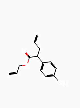 C=CCOC(=O)C(CC=C)c1ccc(C(=O)O)cc1